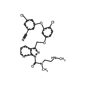 CNCCN(C)C(=O)n1nc(COc2ccc(Cl)c(Oc3cc(Cl)cc(C#N)c3)c2)c2cccnc21